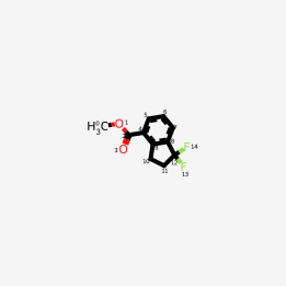 COC(=O)c1cccc2c1CCC2(F)F